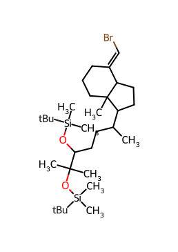 CC(CCC(O[Si](C)(C)C(C)(C)C)C(C)(C)O[Si](C)(C)C(C)(C)C)C1CCC2C(=CBr)CCCC21C